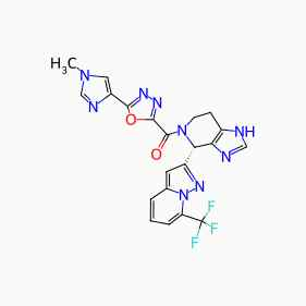 Cn1cnc(-c2nnc(C(=O)N3CCc4[nH]cnc4[C@@H]3c3cc4cccc(C(F)(F)F)n4n3)o2)c1